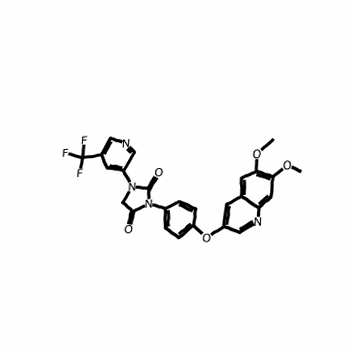 COc1cc2cc(Oc3ccc(N4C(=O)CN(c5cncc(C(F)(F)F)c5)C4=O)cc3)cnc2cc1OC